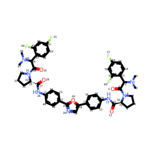 CN(C)C(C(=O)N1CCC[C@H]1C(=O)Nc1ccc(-c2cnc(-c3ccc(NC(=O)[C@@H]4CCCN4C(=O)C(c4ccc(F)cc4F)N(C)C)cc3)o2)cc1)c1ccc(F)cc1F